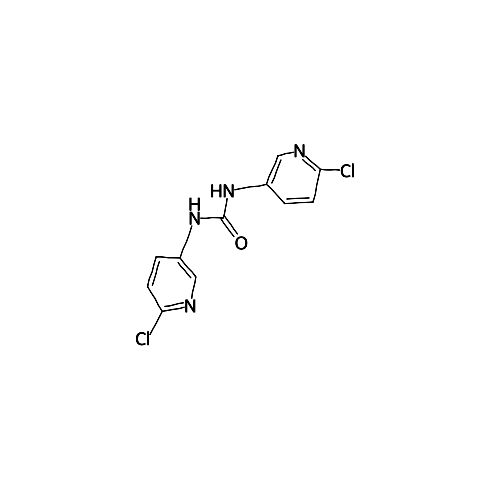 O=C(Nc1ccc(Cl)nc1)Nc1ccc(Cl)nc1